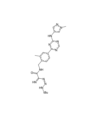 Cc1cc(-c2ncnc(Nc3cnn(C)c3)n2)ccc1CNC(=O)C(=N)/N=N\NC(C)(C)C